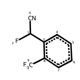 N#CC(F)c1ccccc1C(F)(F)F